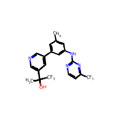 Cc1cc(Nc2nccc(C(F)(F)F)n2)cc(-c2cncc(C(C)(O)C(F)(F)F)c2)c1